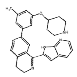 Cc1cc(OC2CCNCC2)cc(-c2ccc3c(c2)C(c2cc4cccnc4[nH]2)=NCC3)c1